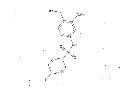 COc1cc(NS(=O)(=O)c2ccc(F)cc2)ccc1CO